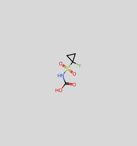 O=C(O)NS(=O)(=O)C1(F)CC1